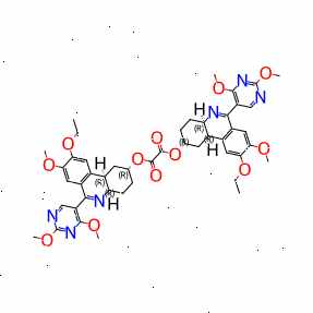 CCOc1cc2c(cc1OC)C(c1cnc(OC)nc1OC)=N[C@@H]1CC[C@@H](OC(=O)C(=O)O[C@@H]3CC[C@H]4N=C(c5cnc(OC)nc5OC)c5cc(OC)c(OCC)cc5[C@H]4C3)C[C@H]21